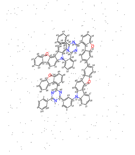 c1ccc(-c2nc(-c3cccc(-n4c5ccccc5c5c6oc7ccc(-c8ccc9c(c8)oc8cccc(-c%10nc(-c%11ccccc%11)nc(-c%11ccccc%11-n%11c%12ccccc%12c%12c%13oc%14ccccc%14c%13ccc%12%11)n%10)c89)cc7c6ccc54)c3)nc(-c3cccc4oc5ccccc5c34)n2)cc1